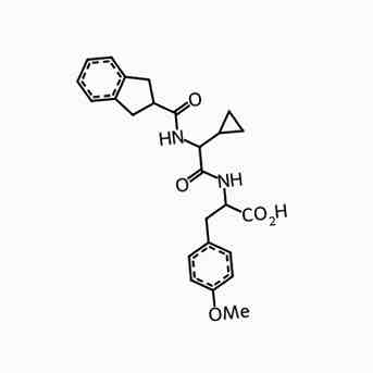 COc1ccc(CC(NC(=O)C(NC(=O)C2Cc3ccccc3C2)C2CC2)C(=O)O)cc1